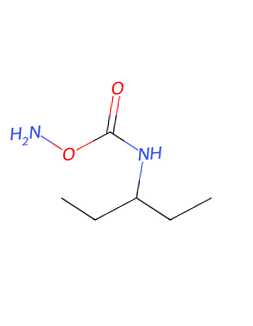 CCC(CC)NC(=O)ON